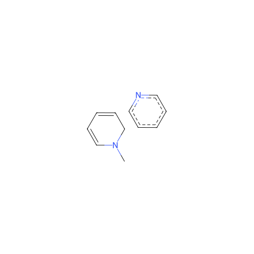 CN1C=CC=CC1.c1ccncc1